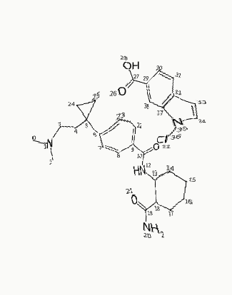 CN(C)CCC1(c2ccc(C(=O)NC3CCCCC3C(N)=O)cc2)CC1.O=C(O)c1ccc2ccn(Cl)c2c1